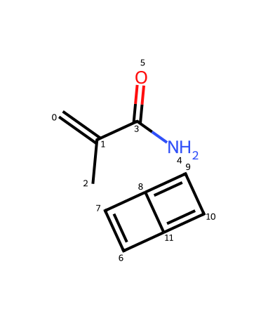 C=C(C)C(N)=O.c1cc2ccc1-2